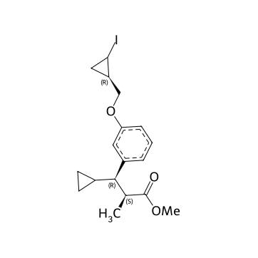 COC(=O)[C@@H](C)[C@H](c1cccc(OC[C@H]2CC2I)c1)C1CC1